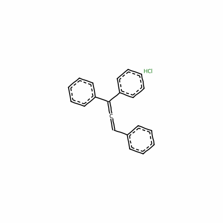 C(=Cc1ccccc1)=C(c1ccccc1)c1ccccc1.Cl